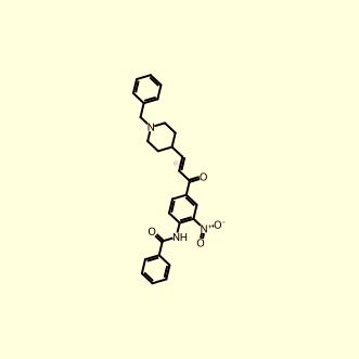 O=C(/C=C/C1CCN(Cc2ccccc2)CC1)c1ccc(NC(=O)c2ccccc2)c([N+](=O)[O-])c1